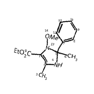 CCOC(=O)C1=C(C)NC(C)(c2ccccc2)N1OC